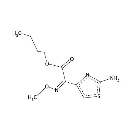 CCCCOC(=O)C(=NOC)c1csc(N)n1